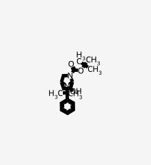 CC(C)(C)OC(=O)N1CC2CC(O)C1N2C(C)(C)c1ccccc1